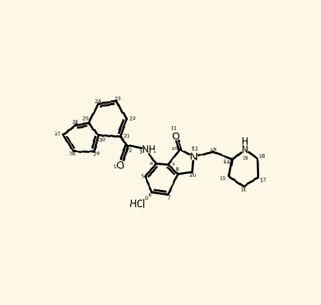 Cl.O=C(Nc1cccc2c1C(=O)N(CC1CCCCN1)C2)c1cccc2ccccc12